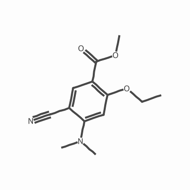 CCOc1cc(N(C)C)c(C#N)cc1C(=O)OC